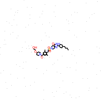 CCCCC1CCC(C2=NC3(CCN(S(=O)(=O)/C=C/c4c(C)cc(C(=O)N5CCC(OCCO)CC5)cc4C)CC3)C(=O)N2)CC1